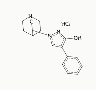 Cl.Oc1nn(C2CN3CCC2CC3)cc1-c1ccccc1